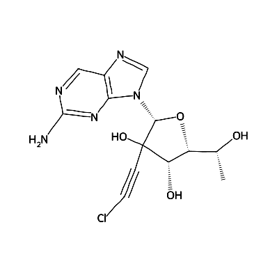 C[C@@H](O)[C@H]1O[C@@H](n2cnc3cnc(N)nc32)C(O)(C#CCl)[C@H]1O